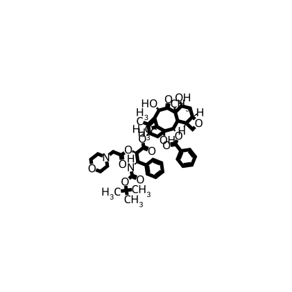 CC1=C2[C@@H](O)C(=O)[C@@]3(C)C([C@@H]4CO[C@@H]4C[C@@H]3O)[C@H](OC(=O)c3ccccc3)[C@](O)(C[C@@H]1OC(=O)[C@H](OC(=O)CN1CCOCC1)[C@@H](NC(=O)OC(C)(C)C)c1ccccc1)C2(C)C